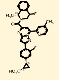 Cc1ccnc(-c2cc(C(=O)N3CC(F)c4ccccc4[C@H]3C)nc3cc(-c4ccc([C@H]5C[C@@H]5C(=O)O)cc4F)nn23)c1